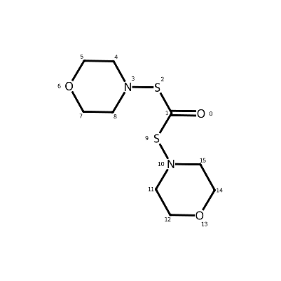 O=C(SN1CCOCC1)SN1CCOCC1